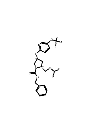 O=C(OCc1ccccc1)N1C[C@@H](Oc2ccc(OC(F)(F)F)cn2)C[C@H]1COC(F)F